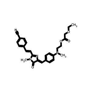 CCOCC(=O)OCCN(C)c1ccc(/C=C2N=C(/C=C/c3ccc(C#N)cc3)N(C)C\2=O)cc1